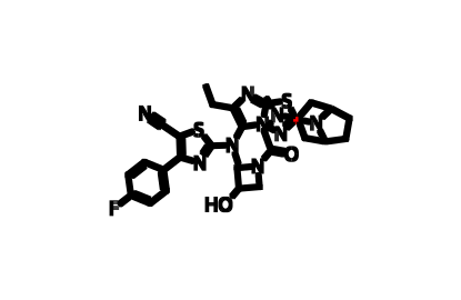 CCc1nc2sc(N3C4CCC3CC(N(C)CC(=O)N3CC(O)C3)C4)nn2c1N(C)c1nc(-c2ccc(F)cc2)c(C#N)s1